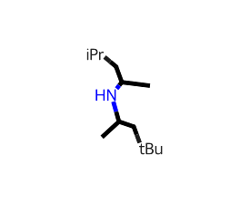 CC(C)CC(C)NC(C)CC(C)(C)C